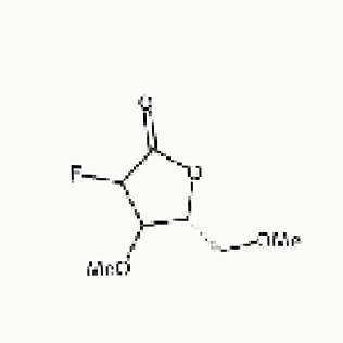 COC[C@H]1OC(=O)C(F)C1OC